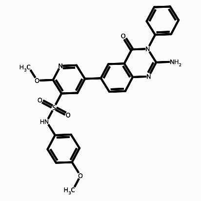 COc1ccc(NS(=O)(=O)c2cc(-c3ccc4nc(N)n(-c5ccccc5)c(=O)c4c3)cnc2OC)cc1